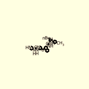 CCCCc1cc(NC(=O)Nc2ccc(Oc3ccnc(NC(=O)NC4CCNCC4)c3)c3ccccc23)n(-c2ccc(C)cc2)n1